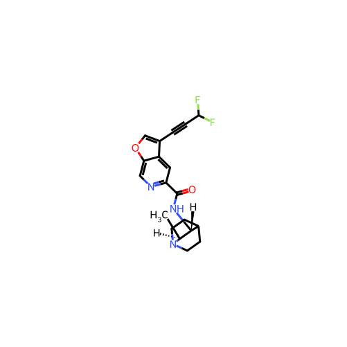 C[C@H]1[C@H](NC(=O)c2cc3c(C#CC(F)F)coc3cn2)C2CCN1CC2